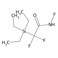 CC[Si](CC)(CC)C(F)(F)C(=O)NF